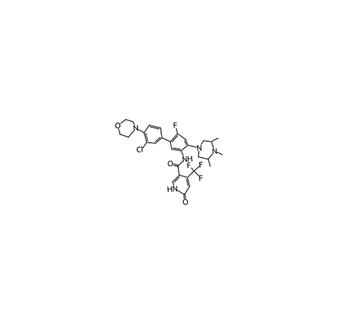 CC1CN(c2cc(F)c(-c3ccc(N4CCOCC4)c(Cl)c3)cc2NC(=O)c2c[nH]c(=O)cc2C(F)(F)F)CC(C)N1C